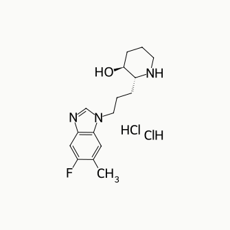 Cc1cc2c(cc1F)ncn2CCC[C@H]1NCCC[C@@H]1O.Cl.Cl